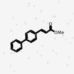 COC(=O)C=Cc1ccc(-c2cc[c]cc2)cc1